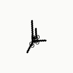 CCCCCCCCCCCCCCCCCN(CCC[N+](C)(CCOC(=O)CCCCCCCCC)CCOC(=O)CCCCCCCCC)CCOC(=O)CCCCCCCCC